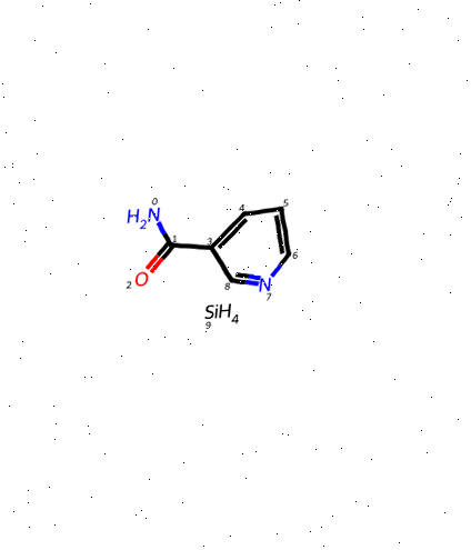 NC(=O)c1cccnc1.[SiH4]